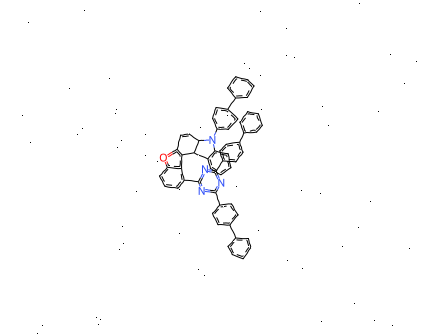 C1=CC2C(c3ccccc3N2c2ccc(-c3ccccc3)cc2)c2c1oc1cccc(-c3nc(-c4ccc(-c5ccccc5)cc4)nc(-c4ccc(-c5ccccc5)cc4)n3)c21